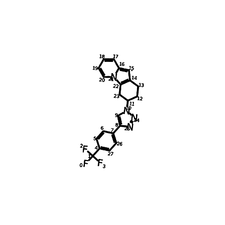 FC(F)(F)c1ccc(-c2cn(C3CCc4[c]c5ccccn5c4C3)nn2)cc1